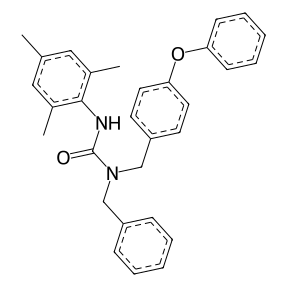 Cc1cc(C)c(NC(=O)N(Cc2ccccc2)Cc2ccc(Oc3ccccc3)cc2)c(C)c1